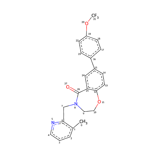 Cc1cccnc1CN1CCOc2ccc(-c3ccc(OC(F)(F)F)cc3)cc2C1=O